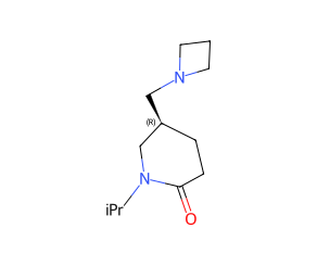 CC(C)N1C[C@@H](CN2CCC2)CCC1=O